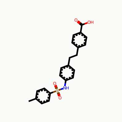 Cc1ccc(S(=O)(=O)Nc2ccc(CCc3ccc(C(=O)O)cc3)cc2)cc1